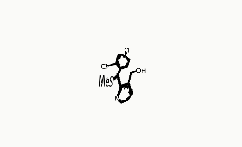 CSC(c1ccc(Cl)cc1Cl)c1ncccc1CO